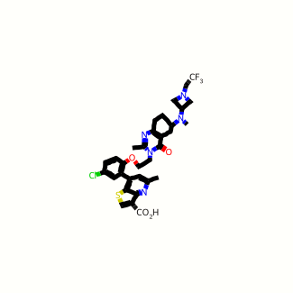 Cc1cc(-c2cc(Cl)ccc2OCCn2c(C)nc3c(c2=O)CC(N(C)C2CN(CC(F)(F)F)C2)CC3)c2scc(C(=O)O)c2n1